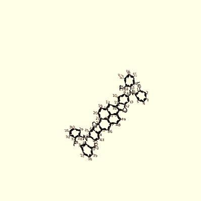 Fc1ccccc1N(c1ccc2c(c1)oc1c2cc2ccc3c4oc5cc(N(c6ccccc6F)c6ccccc6F)ccc5c4cc4ccc1c2c43)c1ccccc1F